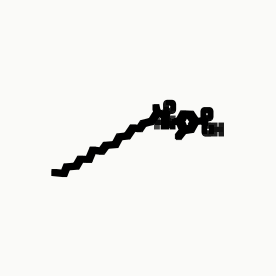 CCCCCCCCCCCCCCCCC(C)C(=O)Nc1ccc(C(=O)O)cc1C